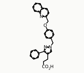 O=C(O)CCc1cn(Cc2ccc(OCc3ccc4ccccc4n3)cc2)nc1-c1ccccc1